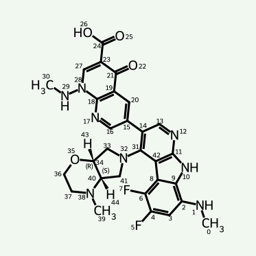 CNc1cc(F)c(F)c2c1[nH]c1ncc(-c3cnc4c(c3)c(=O)c(C(=O)O)cn4NC)c(N3C[C@H]4OCCN(C)[C@H]4C3)c12